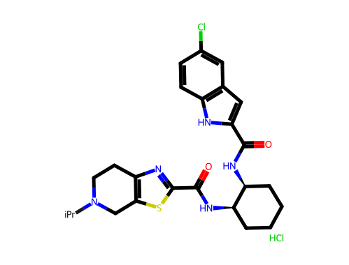 CC(C)N1CCc2nc(C(=O)N[C@@H]3CCCC[C@@H]3NC(=O)c3cc4cc(Cl)ccc4[nH]3)sc2C1.Cl